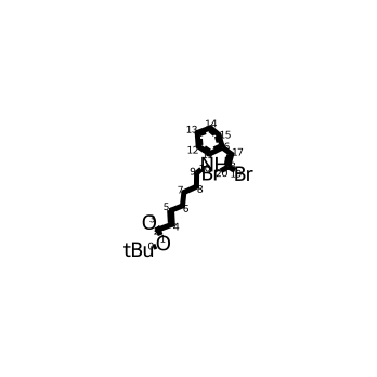 CC(C)(C)OC(=O)/C=C/CCCCNc1ccccc1C=C(Br)Br